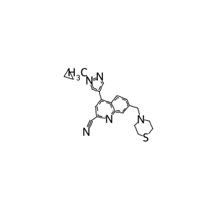 C1CC1.Cn1cc(-c2cc(C#N)nc3cc(CN4CCSCC4)ccc23)cn1